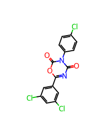 O=c1nc(-c2cc(Cl)cc(Cl)c2)oc(=O)n1-c1ccc(Cl)cc1